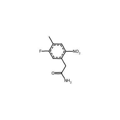 Cc1cc([N+](=O)[O-])c(CC(N)=O)cc1F